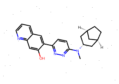 CN(c1ccc(-c2cc3cccnc3cc2O)nn1)[C@H]1C[C@@H]2CC[C@@H](C2)C1